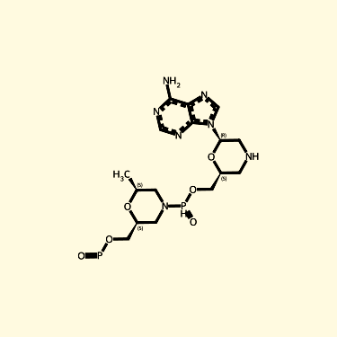 C[C@H]1CN([PH](=O)OC[C@@H]2CNC[C@H](n3cnc4c(N)ncnc43)O2)C[C@@H](COP=O)O1